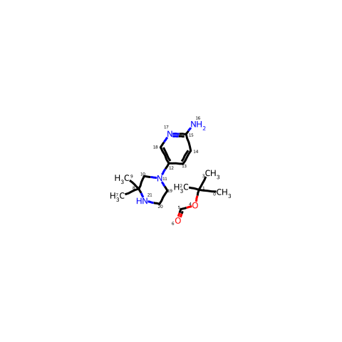 CC(C)(C)OC=O.CC1(C)CN(c2ccc(N)nc2)CCN1